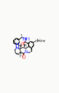 CCCCCCc1cc2c(c(C(=O)N[C@H](C)c3ccccc3)c1)[C@@H]1C[C@H]3NCCC[C@H]3C(=O)N1CC2